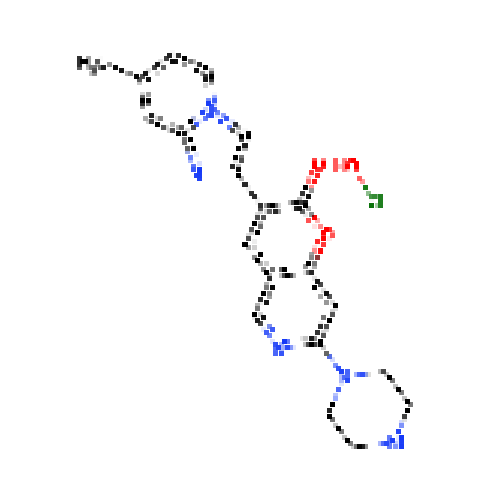 Cc1ccn2cc(-c3cc4cnc(N5CCNCC5)cc4oc3=O)nc2c1.OCl